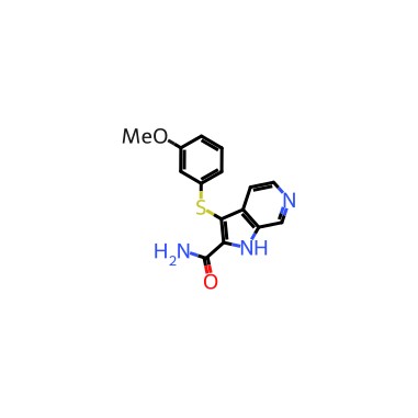 COc1cccc(Sc2c(C(N)=O)[nH]c3cnccc23)c1